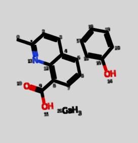 Cc1ccc2cccc(C(=O)O)c2n1.Oc1ccccc1.[GaH3]